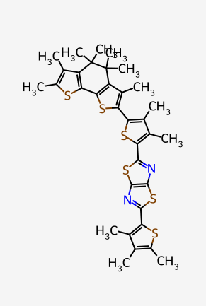 Cc1sc(-c2nc3sc(-c4sc(-c5sc6c(c5C)C(C)(C)C(C)(C)c5c-6sc(C)c5C)c(C)c4C)nc3s2)c(C)c1C